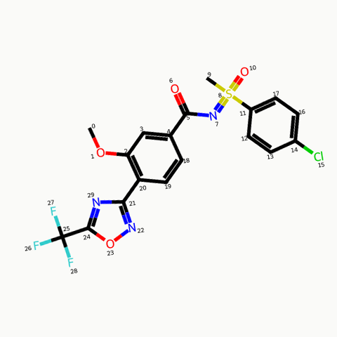 COc1cc(C(=O)N=S(C)(=O)c2ccc(Cl)cc2)ccc1-c1noc(C(F)(F)F)n1